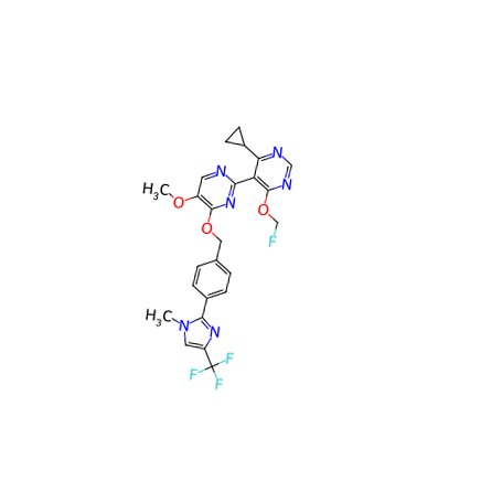 COc1cnc(-c2c(OCF)ncnc2C2CC2)nc1OCc1ccc(-c2nc(C(F)(F)F)cn2C)cc1